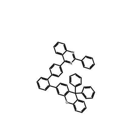 c1ccc(-c2nc(-c3ccc(-c4ccccc4-c4ccc5c(c4)Oc4ccccc4C5(c4ccccc4)c4ccccc4)cc3)c3ccccc3n2)cc1